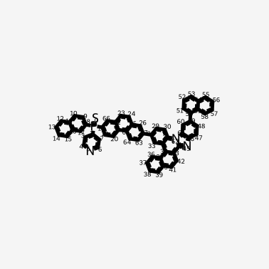 S=P(c1ccncc1)(c1ccc2ccccc2c1)c1ccc2c(ccc3cc(-c4ccc5c(c4)c4c6ccccc6ccc4c4nc6ccc(-c7cccc8ccccc78)cc6n54)ccc32)c1